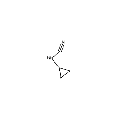 N#CNC1CC1